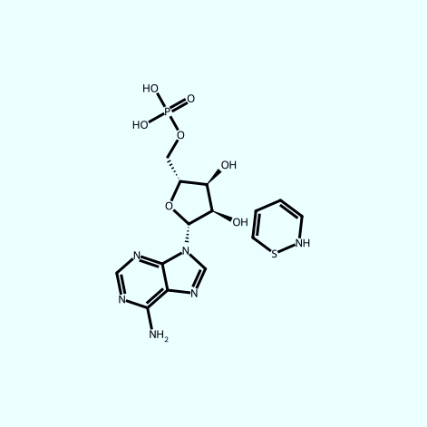 C1=CNSC=C1.Nc1ncnc2c1ncn2[C@@H]1O[C@H](COP(=O)(O)O)[C@@H](O)[C@H]1O